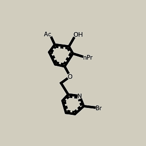 CCCc1c(OCc2cccc(Br)n2)ccc(C(C)=O)c1O